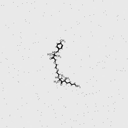 Cc1ccc(CNC(C)(C)C(=O)COCCOCCNC(C)(C)C(=O)C(N)CCCCN)cc1